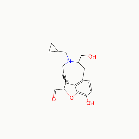 O=CC1Oc2c(O)ccc3c2[C@H]1CCN(CC1CC1)C(CO)C3